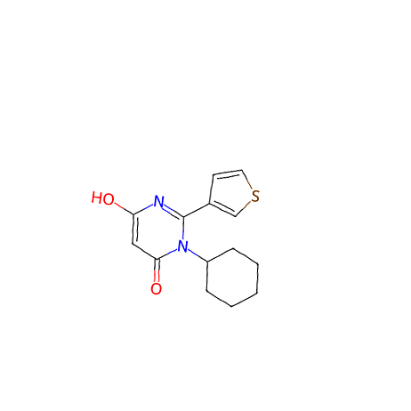 O=c1cc(O)nc(-c2ccsc2)n1C1CCCCC1